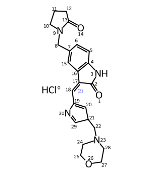 Cl.O=C1Nc2ccc(CN3CCCC3=O)cc2/C1=C/C1=CC(CN2CCOCC2)C=N1